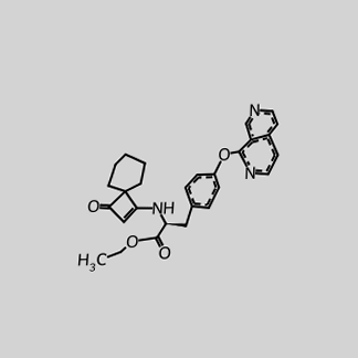 CCOC(=O)[C@H](Cc1ccc(Oc2nccc3ccncc23)cc1)NC1=CC(=O)C12CCCCC2